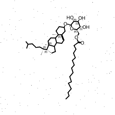 CCCCCCCCCCCCCCCC(=O)OC[C@H]1O[C@@H](OC2CC[C@@]3(C)C(=CCC4C3CC[C@@]3(C)C4CC[C@@H]3[C@H](C)CCCC(C)C)C2)[C@H](O)[C@@H](O)[C@@H]1O